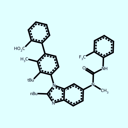 CCCCc1nc2ccc(N(C)C(=O)Nc3ccccc3C(F)(F)F)cc2n1-c1ccc(-c2ccccc2C(=O)O)c(C)c1C(C)(C)C